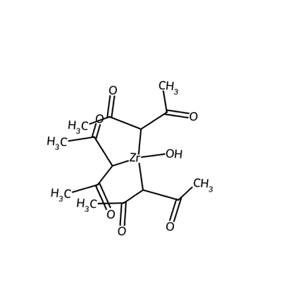 CC(=O)[CH](C(C)=O)[Zr]([OH])([CH](C(C)=O)C(C)=O)[CH](C(C)=O)C(C)=O